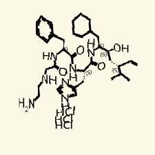 C=C[C@@H](C[C@H](O)[C@H](CC1CCCCC1)NC(=O)[C@H](Cc1c[nH]cn1)NC(=O)[C@H](Cc1ccccc1)NC(=O)CNCCN)C(C)C.Cl.Cl.Cl